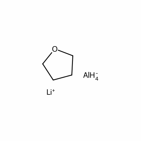 C1CCOC1.[AlH4-].[Li+]